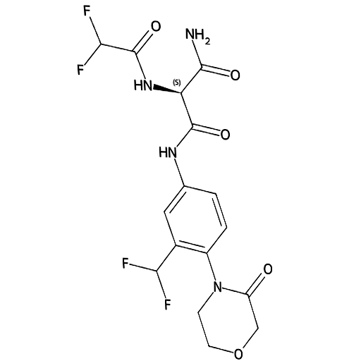 NC(=O)[C@H](NC(=O)C(F)F)C(=O)Nc1ccc(N2CCOCC2=O)c(C(F)F)c1